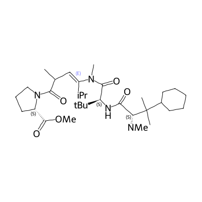 CN[C@H](C(=O)N[C@H](C(=O)N(C)/C(=C/C(C)C(=O)N1CCC[C@H]1C(=O)OC)C(C)C)C(C)(C)C)C(C)(C)C1CCCCC1